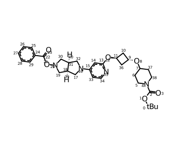 CC(C)(C)OC(=O)N1CCC(O[C@H]2C[C@H](Oc3cc(N4C[C@H]5CN(OC(=O)c6ccccc6)C[C@H]5C4)ccn3)C2)CC1